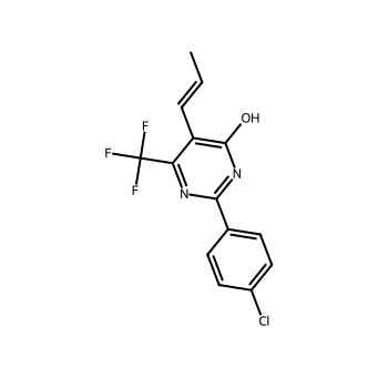 C/C=C/c1c(O)nc(-c2ccc(Cl)cc2)nc1C(F)(F)F